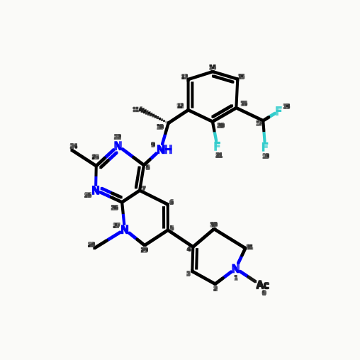 CC(=O)N1CC=C(C2=Cc3c(N[C@H](C)c4cccc(C(F)F)c4F)nc(C)nc3N(C)C2)CC1